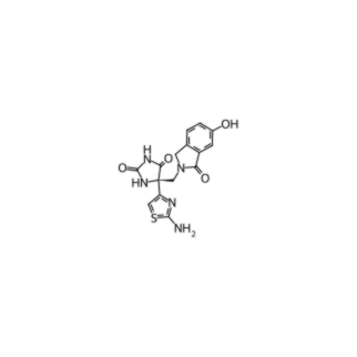 Nc1nc([C@]2(CN3Cc4ccc(O)cc4C3=O)NC(=O)NC2=O)cs1